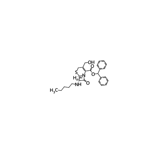 CCCCCN[C@H]1C(=O)N2C(C(=O)OC(c3ccccc3)c3ccccc3)=C(CO)CS[C@H]12